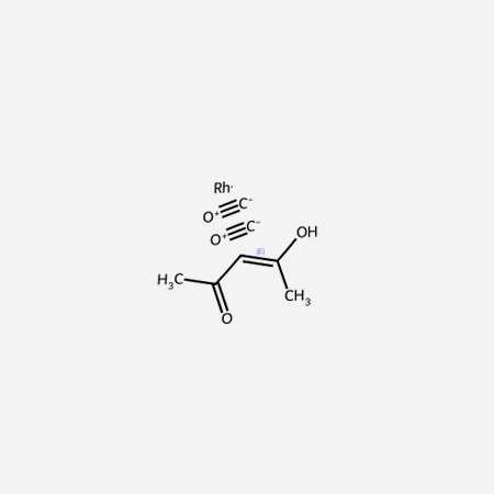 CC(=O)/C=C(\C)O.[C-]#[O+].[C-]#[O+].[Rh]